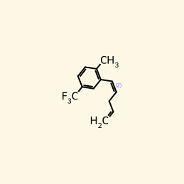 C=CC/C=C\c1cc(C(F)(F)F)ccc1C